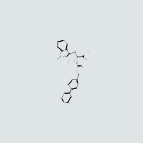 Cn1cc(CC(NC(=O)OCc2ccc(-c3ccccc3)cc2)C(=O)O)c2ccccc21